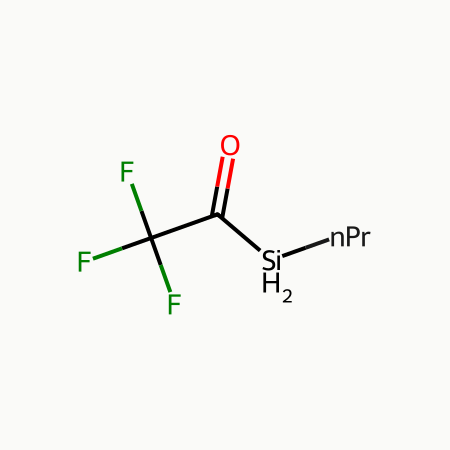 CCC[SiH2]C(=O)C(F)(F)F